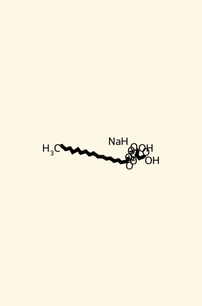 CCCCCCCCCCCCCCCCCC(=O)OS(=O)(=O)C(CC(=O)O)C(=O)O.[NaH]